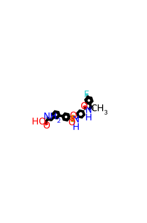 C[C@@H](NC(=O)[C@H]1CC[C@H](NS(=O)(=O)c2ccc(-c3cccc(C[C@H](N)C(=O)O)c3)cc2)CC1)c1ccc(F)cc1